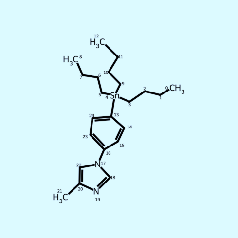 CCC[CH2][Sn]([CH2]CCC)([CH2]CCC)[c]1ccc(-n2cnc(C)c2)cc1